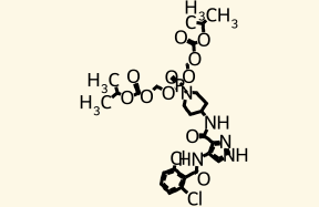 CC(C)OC(=O)OCOP(=O)(OCOC(=O)OC(C)C)N1CCC(NC(=O)c2n[nH]cc2NC(=O)c2c(Cl)cccc2Cl)CC1